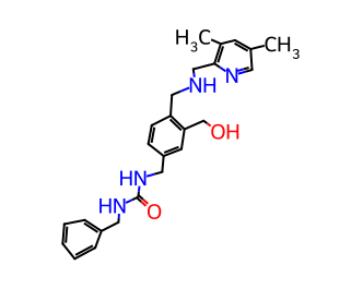 Cc1cnc(CNCc2ccc(CNC(=O)NCc3ccccc3)cc2CO)c(C)c1